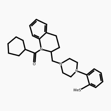 CSc1ccccc1N1CCN(CC2CCc3ccccc3N2C(=O)C2CCCCC2)CC1